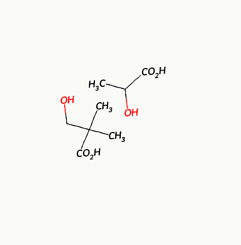 CC(C)(CO)C(=O)O.CC(O)C(=O)O